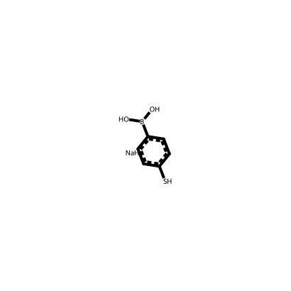 OB(O)c1ccc(S)cc1.[NaH]